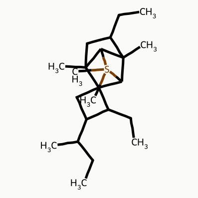 CCC(C)C1CC2(C1CC)C1C3(C)C(CC)CC2(C)C3S1(C)C